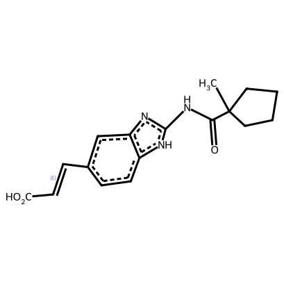 CC1(C(=O)Nc2nc3cc(/C=C/C(=O)O)ccc3[nH]2)CCCC1